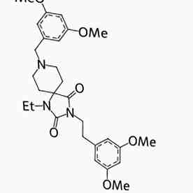 CCN1C(=O)N(CCc2cc(OC)cc(OC)c2)C(=O)C12CCN(Cc1cc(OC)cc(OC)c1)CC2